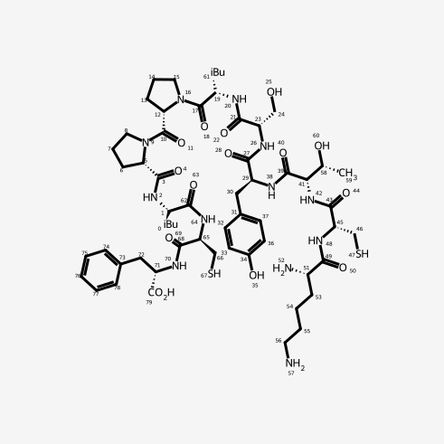 CC[C@H](C)[C@H](NC(=O)[C@@H]1CCCN1C(=O)[C@@H]1CCCN1C(=O)[C@@H](NC(=O)[C@H](CO)NC(=O)[C@H](Cc1ccc(O)cc1)NC(=O)[C@@H](NC(=O)[C@H](CS)NC(=O)[C@@H](N)CCCCN)[C@@H](C)O)[C@@H](C)CC)C(=O)N[C@@H](CS)C(=O)N[C@@H](Cc1ccccc1)C(=O)O